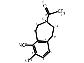 N#Cc1c(Cl)ccc2c1CCN(C(=O)C(F)(F)F)CC2